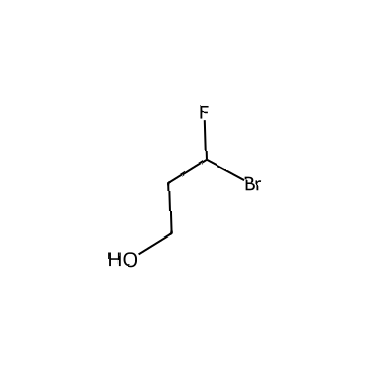 OCCC(F)Br